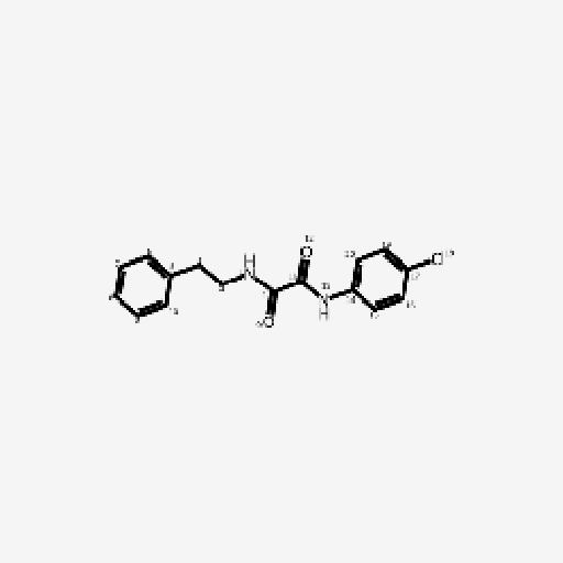 O=C(NCCc1ccccc1)C(=O)Nc1ccc(Cl)cc1